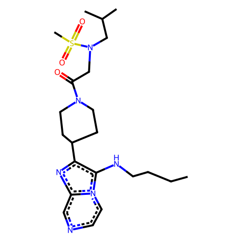 CCCCNc1c(C2CCN(C(=O)CN(CC(C)C)S(C)(=O)=O)CC2)nc2cnccn12